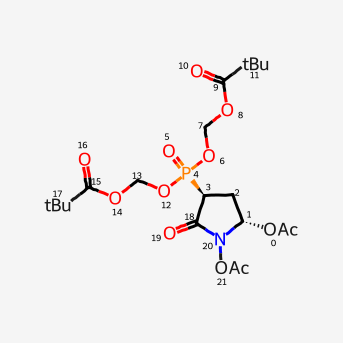 CC(=O)O[C@H]1C[C@H](P(=O)(OCOC(=O)C(C)(C)C)OCOC(=O)C(C)(C)C)C(=O)N1OC(C)=O